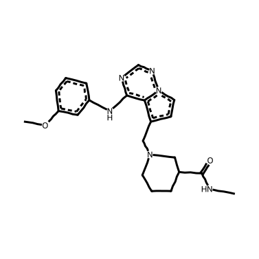 CNC(=O)C1CCCN(Cc2ccn3ncnc(Nc4cccc(OC)c4)c23)C1